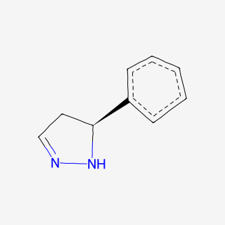 C1=NN[C@H](c2ccccc2)C1